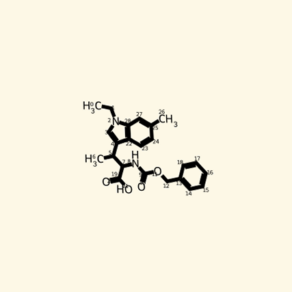 CCn1cc(C(C)C(NC(=O)OCc2ccccc2)C(=O)O)c2ccc(C)cc21